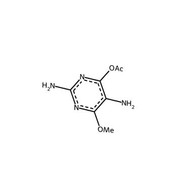 COc1nc(N)nc(OC(C)=O)c1N